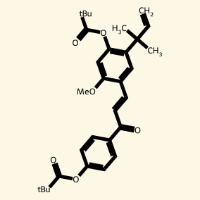 C=CC(C)(C)c1cc(C=CC(=O)c2ccc(OC(=O)C(C)(C)C)cc2)c(OC)cc1OC(=O)C(C)(C)C